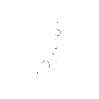 CO[C@@]1(NC(=O)C[S+]([O-])c2ccc([N+](=O)[O-])o2)C(=O)N2C(C(=O)O)=C(COC(C)=O)CS[C@H]21